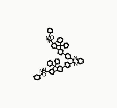 c1ccc(-c2nnc(-c3ccc4c(c3)C(c3ccccc3)(c3ccccc3)c3cc(-c5ccc(-c6nc7ccccc7nc6-c6ccc(-c7ccc8c(c7)C(c7ccccc7)(c7ccccc7)c7cc(-c9nnc(-c%10ccccc%10)o9)ccc7-8)cc6)cc5)ccc3-4)o2)cc1